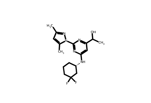 Cc1cc(C)n(-c2nc(N[C@H]3CCCC(F)(F)C3)cc(C(C)O)n2)n1